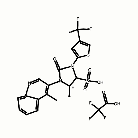 Cc1c(N2C(=O)N(c3cc(C(F)(F)F)cs3)C(S(=O)(=O)O)[C@H]2C)cnc2ccccc12.O=C(O)C(F)(F)F